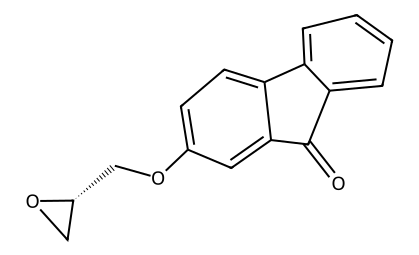 O=C1c2ccccc2-c2ccc(OC[C@@H]3CO3)cc21